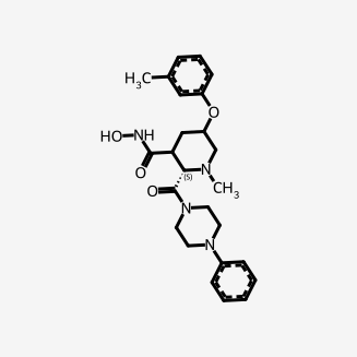 Cc1cccc(OC2CC(C(=O)NO)[C@@H](C(=O)N3CCN(c4ccccc4)CC3)N(C)C2)c1